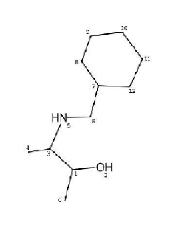 CC(O)C(C)NCC1CCCCC1